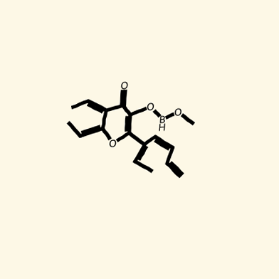 C=C/C=C\C(=C/C)c1oc(=C/C)/c(=C\C)c(=O)c1OBOC